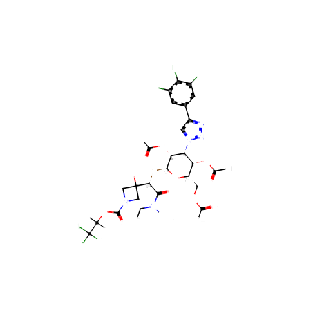 CCN(C)C(=O)[C@H](S[C@@H]1O[C@H](COC(C)=O)[C@H](OC(C)=O)[C@H](n2cc(-c3cc(F)c(F)c(F)c3)nn2)[C@H]1OC(C)=O)C1(O)CN(C(=O)OC(C)(C)C(Cl)(Cl)Cl)C1